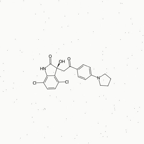 O=C(C[C@@]1(O)C(=O)Nc2c(Cl)ccc(Cl)c21)c1ccc(N2CCCC2)cc1